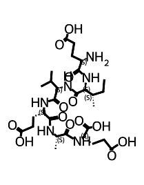 CC[C@H](C)[C@H](NC(=O)[C@@H](N)CCC(=O)O)C(=O)N[C@H](C(=O)N[C@@H](CCC(=O)O)C(=O)N[C@@H](C)C(=O)N[C@@H](CCC(=O)O)C(=O)O)C(C)C